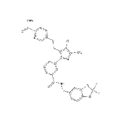 COC(=O)c1cnc(OCc2c(Cl)c(C(F)(F)F)nn2-c2cccc(C(=O)NCc3ccc4c(c3)OC(F)(F)O4)c2)cn1